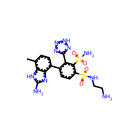 Cc1ccc(-c2ccc(S(=O)(=O)NCCN)c(S(N)(=O)=O)c2-c2nn[nH]n2)c2nc(N)[nH]c12